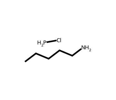 CCCCCN.PCl